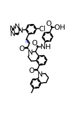 Cc1ccc2c(c1)CCCN2C(=O)c1cccc2c1CCN(C(=O)/C=C/c1cc(Cl)ccc1-n1cnnn1)C2C(=O)Nc1ccc(C(=O)O)cc1